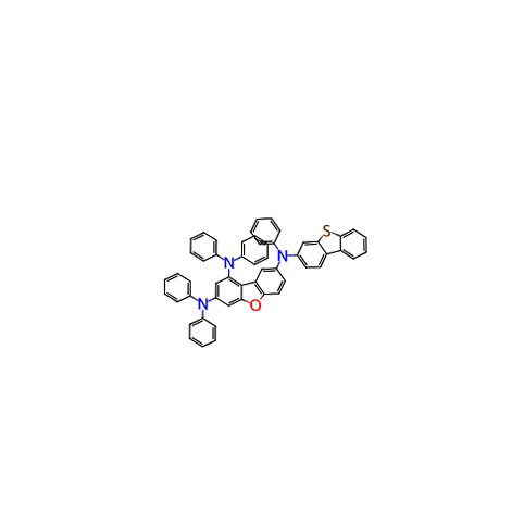 c1ccc(N(c2ccccc2)c2cc(N(c3ccccc3)c3ccccc3)c3c(c2)oc2ccc(N(c4ccccc4)c4ccc5c(c4)sc4ccccc45)cc23)cc1